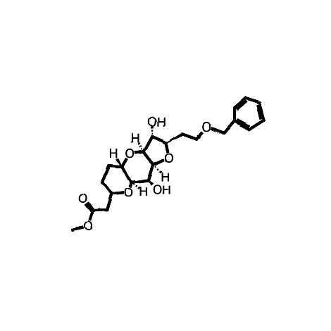 COC(=O)CC1CC[C@@H]2O[C@H]3[C@H](O)[C@@H](CCOCc4ccccc4)O[C@H]3[C@@H](O)[C@H]2O1